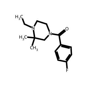 CCN1CCN(C(=O)c2ccc(F)cc2)CC1(C)C